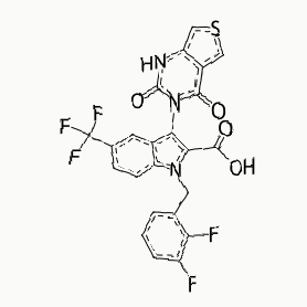 O=C(O)c1c(-n2c(=O)[nH]c3cscc3c2=O)c2cc(C(F)(F)F)ccc2n1Cc1cccc(F)c1F